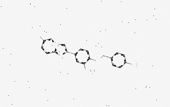 COc1cc(-c2cn3cc(Br)ccc3n2)ccc1OCc1ccc(Cl)cc1